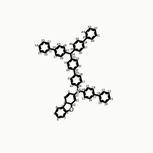 C1=CC2c3ccccc3OC2C=C1N(c1ccc(-c2ccccc2)cc1)c1ccc(-c2ccc(C(c3ccc(-c4ccccc4)cc3)c3ccc(-c4ccccc4)cc3)cc2)cc1